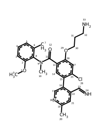 COc1cccc(C)c1N(C)C(=O)c1cc(-c2cnc(C)cc2C=N)c(Cl)cc1OCCCN